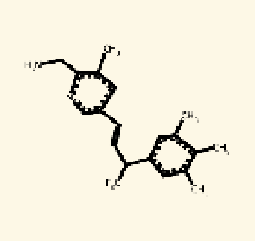 Cc1cc(/C=C/C(c2cc(C)c(C)c(C)c2)C(F)(F)F)cnc1CN